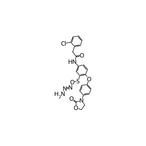 NN=NOSc1cc(NC(=O)Cc2ccccc2Cl)ccc1Oc1ccc(N2CCOC2=O)cc1